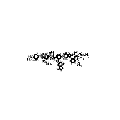 CC(C)c1ccccc1[C@@H]1CN(CCN)CCN1C1CC2(CCN(c3ccc(C(=O)NS(=O)(=O)c4cnc(NC[C@H]5CC[C@](C)(O)CC5)c([NH+](C)[O-])c4)c(Oc4cnc5c(c4)C(F)=CC5)c3)CC2)C1